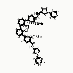 COc1nc(-c2cccc(-c3cccc(-c4ccc(CNC5CCN(c6ccncn6)C5)c(OC)n4)c3Cl)c2Cl)ccc1CNC1CCN(c2ccncn2)C1